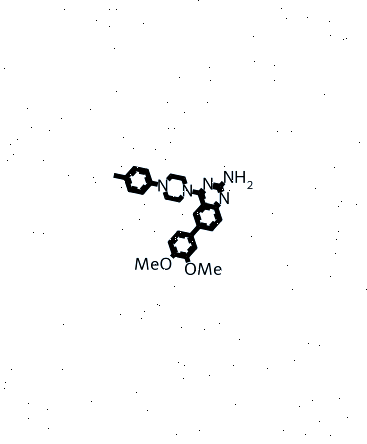 COc1ccc(-c2ccc3nc(N)nc(N4CCN(c5ccc(C)cc5)CC4)c3c2)cc1OC